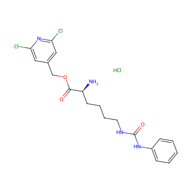 Cl.N[C@@H](CCCCNC(=O)Nc1ccccc1)C(=O)OCc1cc(Cl)nc(Cl)c1